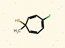 CC1(S)C=CC=C(F)C=C1